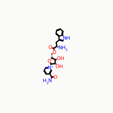 NC(=O)c1ccc[n+]([C@@H]2O[C@H](COC(=O)[C@@H](N)Cc3c[nH]c4ccccc34)[C@@H](O)[C@H]2O)c1